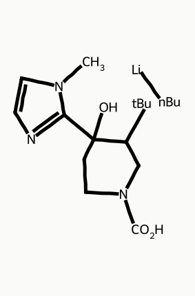 Cn1ccnc1C1(O)CCN(C(=O)O)CC1C(C)(C)C.[Li][CH2]CCC